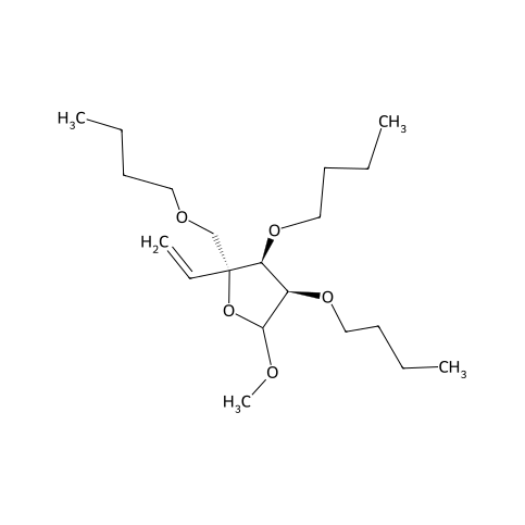 C=C[C@]1(COCCCC)OC(OC)[C@H](OCCCC)[C@@H]1OCCCC